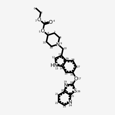 CCOC(=O)OC1CCN(Cc2c[nH]c3cc(Oc4nc5cccnc5s4)ccc23)CC1